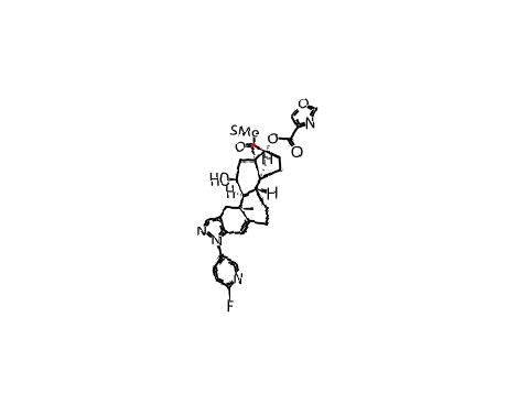 CSC(=O)[C@@]1(OC(=O)c2cocn2)CC[C@H]2[C@@H]3CCC4=Cc5c(cnn5-c5ccc(F)nc5)C[C@]4(C)[C@H]3[C@@H](O)C[C@@]21C